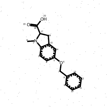 CN1c2ccc(OCc3ccccc3)cc2CC1C(=O)O